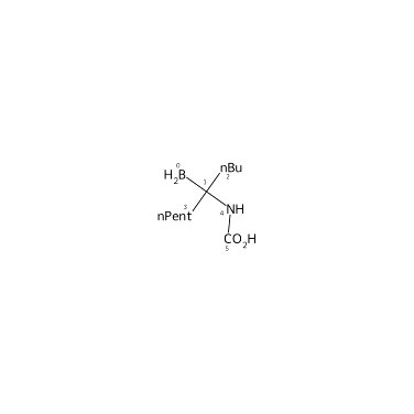 BC(CCCC)(CCCCC)NC(=O)O